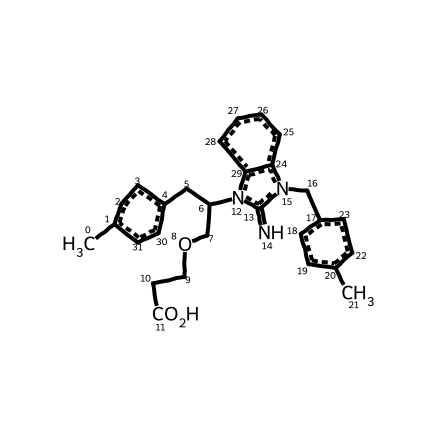 Cc1ccc(CC(COCCC(=O)O)n2c(=N)n(Cc3ccc(C)cc3)c3ccccc32)cc1